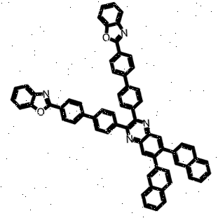 c1ccc2cc(-c3cc4nc(-c5ccc(-c6ccc(-c7nc8ccccc8o7)cc6)cc5)c(-c5ccc(-c6ccc(-c7nc8ccccc8o7)cc6)cc5)nc4cc3-c3ccc4ccccc4c3)ccc2c1